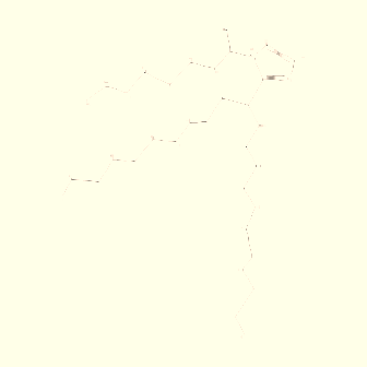 CCCCCCCCCCCC(CCCCCCCCCC)c1nccn1C(C)CCCCCCC